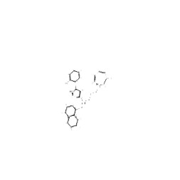 Clc1ccccc1-c1cc(N(CCCN2C=CC=CC=C2)Cc2cccc3ccccc23)on1